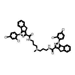 CN(CCCNC(=O)c1nn(-c2ccc(Cl)cc2Cl)c2c1Cc1ccccc1-2)CCCNC(=O)c1nn(-c2ccc(Cl)cc2Cl)c2c1Cc1ccccc1-2